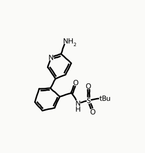 CC(C)(C)S(=O)(=O)NC(=O)c1ccccc1-c1ccc(N)nc1